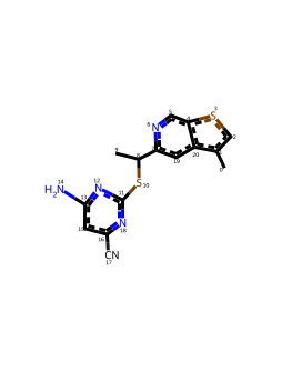 Cc1csc2cnc(C(C)Sc3nc(N)cc(C#N)n3)cc12